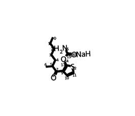 CCCCCC(C)C(=O)c1ccsc1OC(N)=O.[NaH]